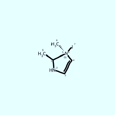 CC1NC=C[N@+]1(C)I